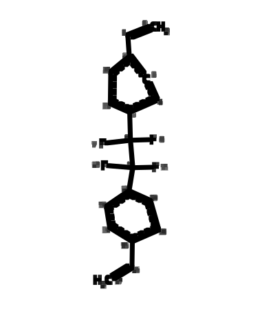 C=Cc1ccc(C(F)(F)C(F)(F)c2ccc(C=C)cc2)cc1